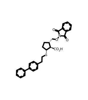 O=C(O)[C@@H]1[C@@H](CON2C(=O)c3ccccc3C2=O)CC[C@H]1SCCc1ccc(-c2ccccc2)cc1